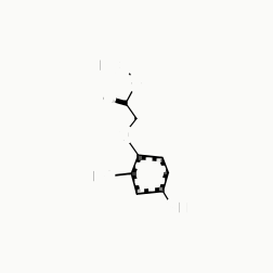 COC(=O)COc1ccc(S)cc1C